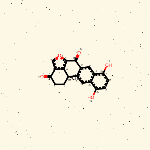 C[C@@]12CCC(=O)c3coc(c31)C(=O)c1cc3c(O)ccc(O)c3cc12